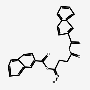 O=C(CC/C(=N/O)OC(=O)c1ccc2ccccc2c1)OC(=O)c1ccc2ccccc2c1